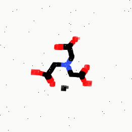 O=C([O-])CN(CC(=O)O)CC(=O)O.[Li+]